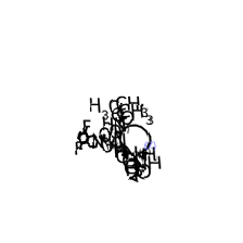 CC(C)(C)OC(=O)N[C@H]1CCCCC/C=C\[C@@H]2C[C@@]2(C(=O)NS(=O)(=O)C2CC2)NC(=O)[C@@H]2C[C@@H](OC(=O)N3CCc4c(F)ccc(F)c4C3)CN2C1=O